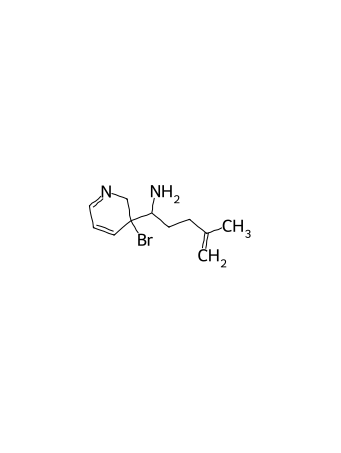 C=C(C)CCC(N)C1(Br)C=CC=NC1